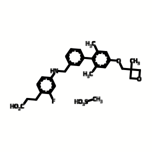 CS(=O)(=O)O.Cc1cc(OCC2(C)COC2)cc(C)c1-c1cccc(CNc2ccc(CCC(=O)O)c(F)c2)c1